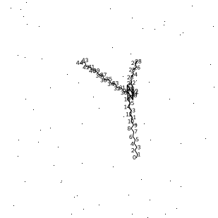 CCCCCCCCCCCCCCCCC[n+]1ccn(CCCCCCCC)c1CCCCCCCCCCCCCCC